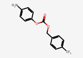 O=C(OCc1ccc(C(F)(F)F)cc1)Oc1ccc([N+](=O)[O-])cc1